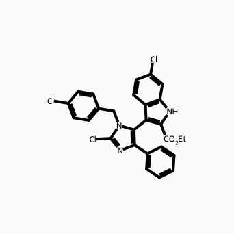 CCOC(=O)c1[nH]c2cc(Cl)ccc2c1-c1c(-c2ccccc2)nc(Cl)n1Cc1ccc(Cl)cc1